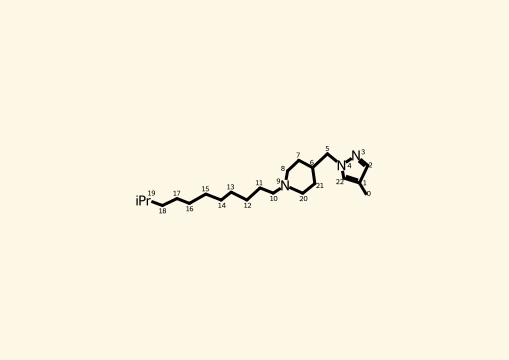 Cc1cnn(CC2CCN(CCCCCCCCCC(C)C)CC2)c1